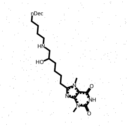 CCCCCCCCCCCCCCNCC(O)CCCCc1nc2c(c(=O)[nH]c(=O)n2C)n1C